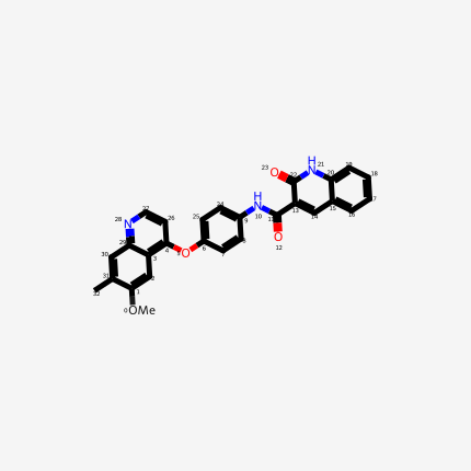 COc1cc2c(Oc3ccc(NC(=O)c4cc5ccccc5[nH]c4=O)cc3)ccnc2cc1C